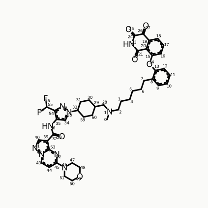 CN(CCCCCCc1ccccc1Oc1cccc2c1C(=O)NC(=O)C2=O)CC1CCC(n2cc(NC(=O)c3cnn4ccc(N5CCOCC5)nc34)c(C(F)F)n2)CC1